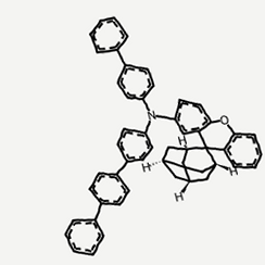 c1ccc(-c2ccc(-c3ccc(N(c4ccc(-c5ccccc5)cc4)c4ccc5c(c4)C4(c6ccccc6O5)[C@H]5C[C@H]6C[C@H](C[C@H]4C6)C5)cc3)cc2)cc1